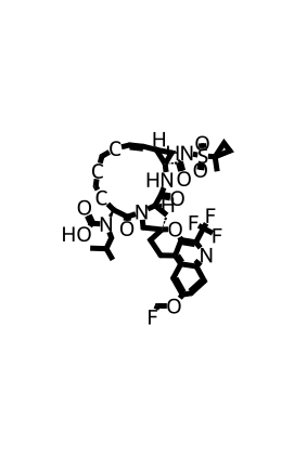 CC(C)CN(C(=O)O)[C@H]1CCCCC/C=C\[C@@H]2C[C@@]2(C(=O)NS(=O)(=O)C2(C)CC2)NC(=O)[C@@H]2C[C@]3(CCc4c(c(C(F)(F)F)nc5ccc(OCF)cc45)O3)CN2C1=O